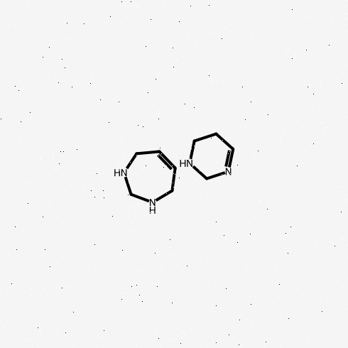 C1=CCNCNC1.C1=NCNCC1